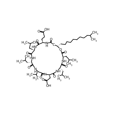 CC(C)CCCCCCCCC[C@H]1CC(=O)N[C@H](CCC(=O)O)C(=O)N[C@H](CC(C)C)C(=O)N[C@@H](CC(C)C)C(=O)N[C@H](C(C)C)C(=O)N[C@H](CC(=O)O)C(=O)N[C@@H](CC(C)C)C(=O)N[C@H](CC(C)C)C(=O)O1